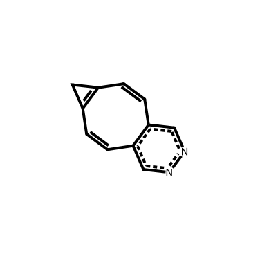 C1=Cc2cnncc2C=CC2=C1C2